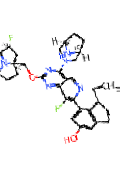 CCC1CCc2cc(O)cc(-c3ncc4c(N5C[C@H]6CC[C@@H](C5)N6)nc(OC[C@@]56CCCN5C[C@H](F)C6)nc4c3F)c21